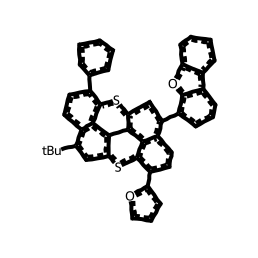 CC(C)(C)c1cc2sc3c(-c4ccco4)ccc4c(-c5cccc6c5oc5ccccc56)cc5sc6c(-c7ccccc7)ccc1c6c2-c5c43